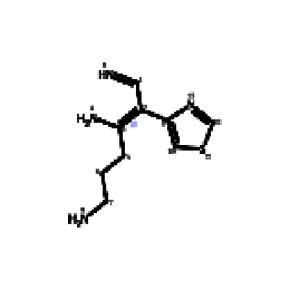 N=C/C(=C(\N)CCCN)c1cscn1